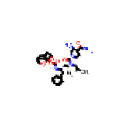 CC(C)CN(CC[C@H](Cc1ccccc1)NC(=O)OC1C2COC3OC1CC3C2)C(=O)N1CCC(C(N)=O)C(N)C1